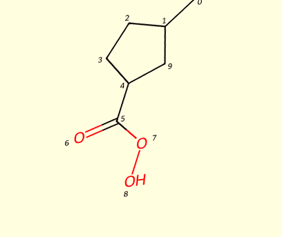 CC1CCC(C(=O)OO)C1